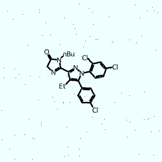 CCCCN1C(=O)CN=C1c1nn(-c2ccc(Cl)cc2Cl)c(-c2ccc(Cl)cc2)c1CC